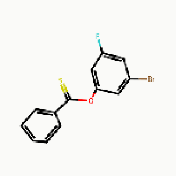 Fc1cc(Br)cc(OC(=S)c2ccccc2)c1